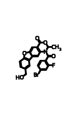 CC1OC(=O)c2cc3oc4ccc(CO)cc4c3cc2N1C(=O)c1ccc(Br)cc1F